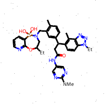 CCC1CN(Cc2cc(C(CC(=O)Nc3cnc(NC)nc3)c3ccc4c(nnn4CC)c3C)ccc2C)S(O)(O)c2cccnc2O1